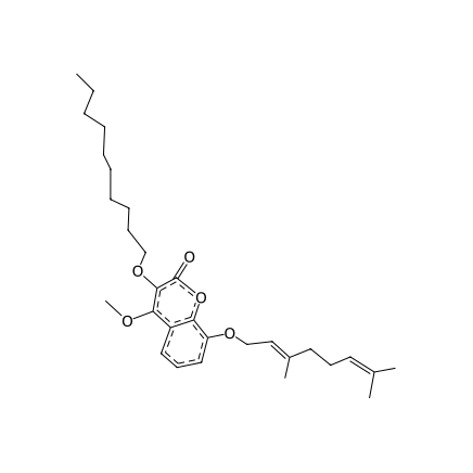 CCCCCCCCCCOc1c(OC)c2cccc(OC/C=C(\C)CCC=C(C)C)c2oc1=O